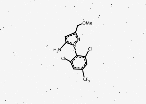 COCc1cc(N)n(-c2c(Cl)cc(C(F)(F)F)cc2Cl)n1